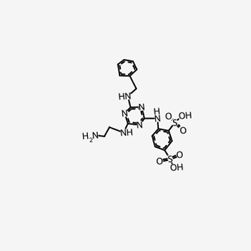 NCCNc1nc(NCc2ccccc2)nc(Nc2ccc(S(=O)(=O)O)cc2S(=O)(=O)O)n1